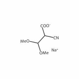 COC(OC)C(C#N)C(=O)[O-].[Na+]